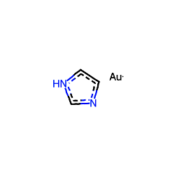 [Au].c1c[nH]cn1